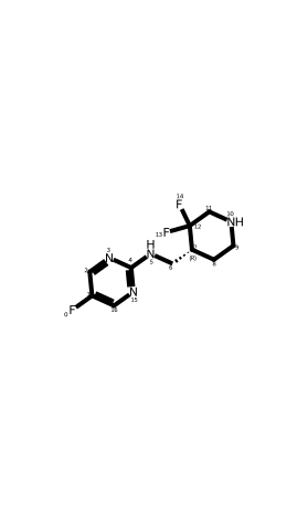 Fc1cnc(NC[C@H]2CCNCC2(F)F)nc1